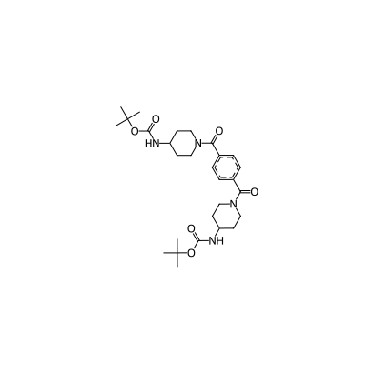 CC(C)(C)OC(=O)NC1CCN(C(=O)c2ccc(C(=O)N3CCC(NC(=O)OC(C)(C)C)CC3)cc2)CC1